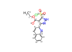 CCOC(=O)c1c(-c2ccc3ccccc3n2)n[nH]c1S(=O)(=O)Cl